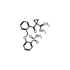 C=C(N)C1(C(=O)c2ccccc2COc2ccccc2S(N)(=O)=O)CC1